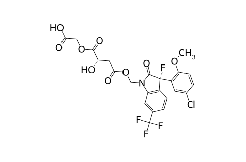 COc1ccc(Cl)cc1[C@]1(F)C(=O)N(COC(=O)C[C@H](O)C(=O)OCC(=O)O)c2cc(C(F)(F)F)ccc21